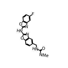 CNC(=O)NCc1ccc2oc(Nc3nc4cc(F)ccc4o3)nc2c1